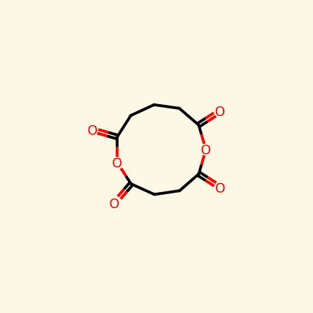 O=C1CCCC(=O)OC(=O)CCC(=O)O1